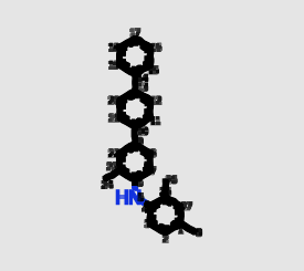 Cc1ccc(Nc2ccc(-c3ccc(-c4ccccc4)cc3)cc2C)c(C)c1